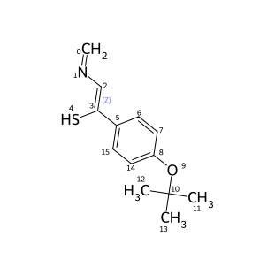 C=N/C=C(\S)c1ccc(OC(C)(C)C)cc1